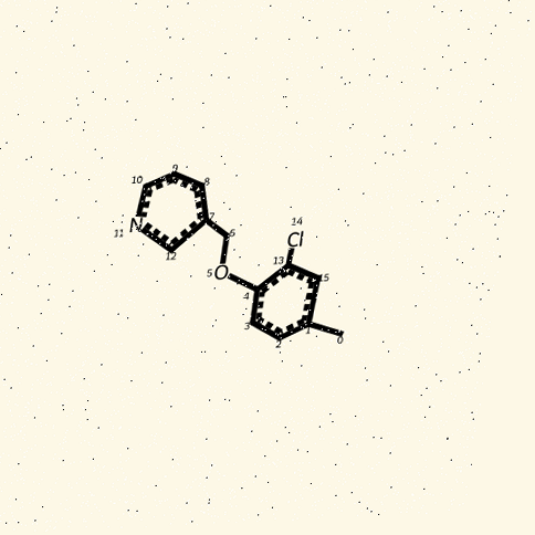 Cc1ccc(OCc2cccnc2)c(Cl)c1